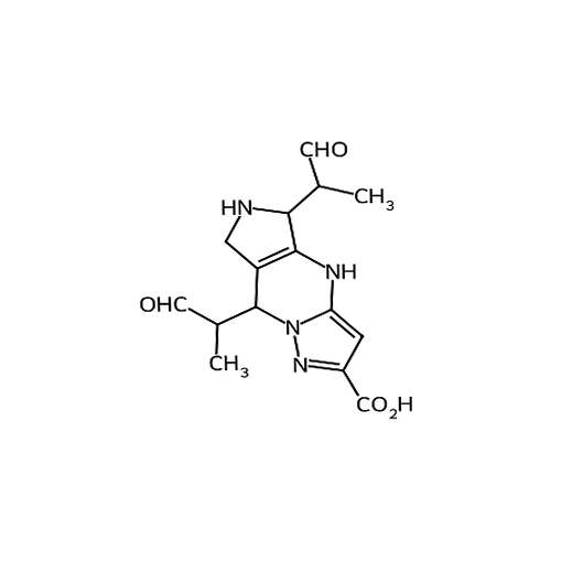 CC(C=O)C1NCC2=C1Nc1cc(C(=O)O)nn1C2C(C)C=O